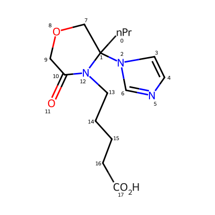 CCCC1(n2ccnc2)COCC(=O)N1CCCCC(=O)O